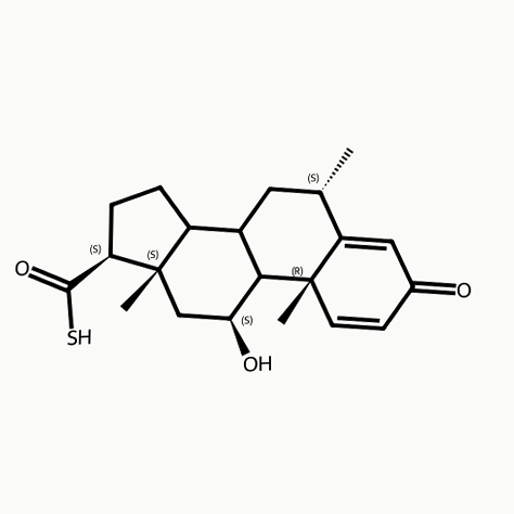 C[C@H]1CC2C([C@@H](O)C[C@@]3(C)C2CC[C@@H]3C(=O)S)[C@@]2(C)C=CC(=O)C=C12